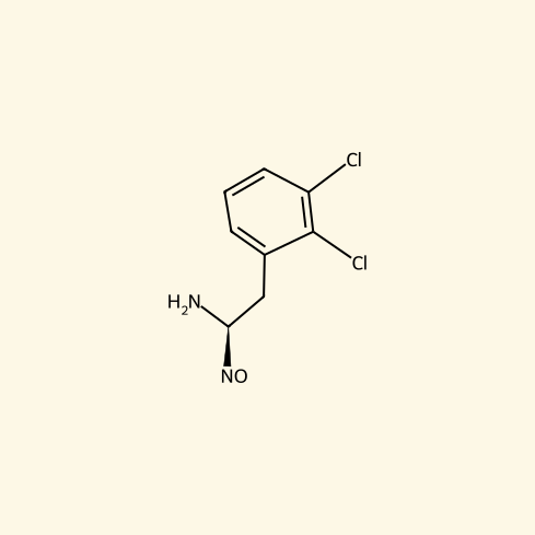 N[C@@H](Cc1cccc(Cl)c1Cl)N=O